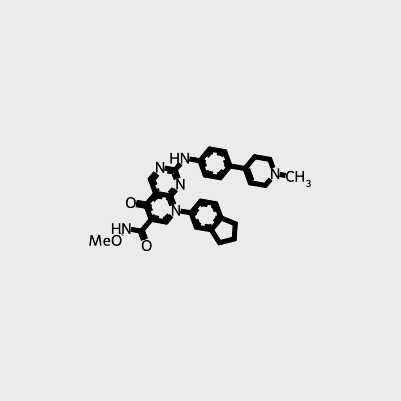 CONC(=O)c1cn(-c2ccc3c(c2)CCC3)c2nc(Nc3ccc(C4=CCN(C)CC4)cc3)ncc2c1=O